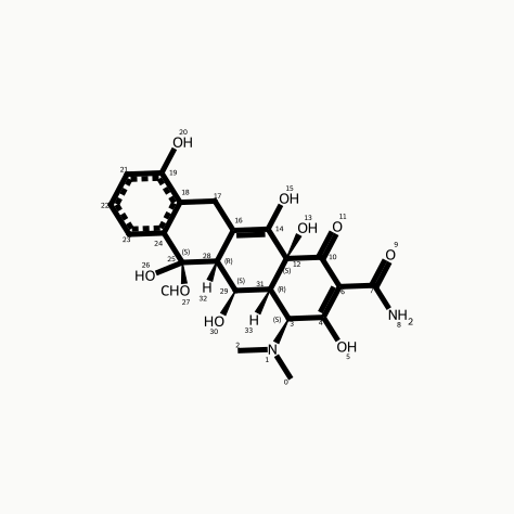 CN(C)[C@@H]1C(O)=C(C(N)=O)C(=O)[C@@]2(O)C(O)=C3Cc4c(O)cccc4[C@](O)(C=O)[C@H]3[C@H](O)[C@@H]12